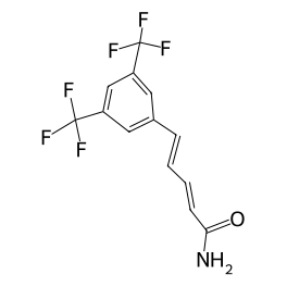 NC(=O)/C=C/C=C/c1cc(C(F)(F)F)cc(C(F)(F)F)c1